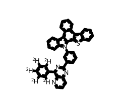 [2H]c1c([2H])c([2H])c(-c2nc(-c3cccc(-n4c5ccccc5c5c6ccccc6c6c7ccccc7sc6c54)c3)nc3cccnc23)c([2H])c1[2H]